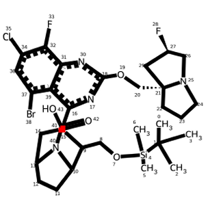 CC(C)(C)[Si](C)(C)OCC1C2CCC(CN1c1nc(OC[C@@]34CCCN3C[C@H](F)C4)nc3c(F)c(Cl)cc(Br)c13)N2C(=O)O